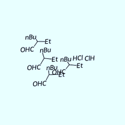 CCCCC(C=O)CC.CCCCC(C=O)CC.CCCCC(C=O)CC.CCCCC(C=O)CC.Cl.Cl